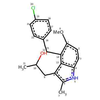 COc1ccc2[nH]c(C)c(CC(C)O)c2c1Cc1ccc(Cl)cc1